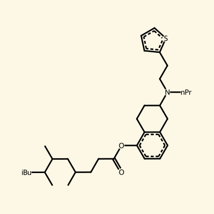 CCCN(CCc1cccs1)C1CCc2c(cccc2OC(=O)CCC(C)CC(C)C(C)C(C)CC)C1